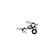 CC(C)COC(=O)CC1(c2ccccc2)C(=O)NCN(C)C1=O